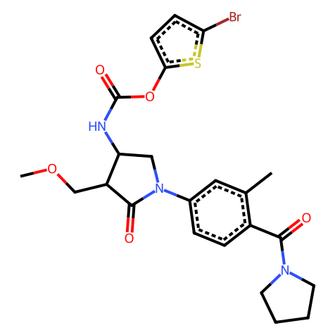 COCC1C(=O)N(c2ccc(C(=O)N3CCCC3)c(C)c2)CC1NC(=O)Oc1ccc(Br)s1